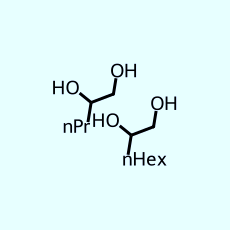 CCCC(O)CO.CCCCCCC(O)CO